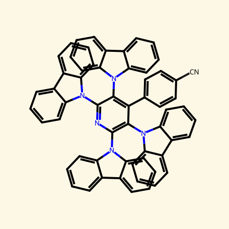 N#Cc1ccc(-c2c(-n3c4ccccc4c4ccccc43)c(-n3c4ccccc4c4ccccc43)nc(-n3c4ccccc4c4ccccc43)c2-n2c3ccccc3c3ccccc32)cc1